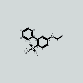 CCOc1ccc(S(N)(=O)=O)c(-c2ccccc2)c1